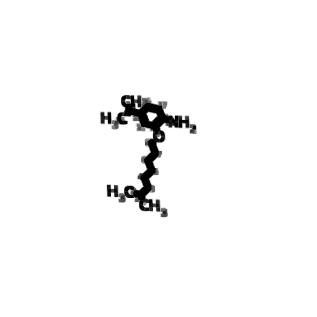 CC(C)CCCCCCOc1cc(C(C)C)ccc1N